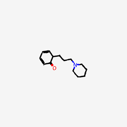 O=C1[C]=CC=CC1CCCN1CCCCC1